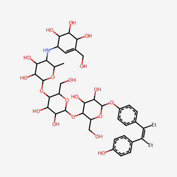 CC/C(=C(\CC)c1ccc(OC2OC(CO)C(OC3OC(CO)C(OC4OC(C)C(NC5C=C(CO)C(O)C(O)C5O)C(O)C4O)C(O)C3O)C(O)C2O)cc1)c1ccc(O)cc1